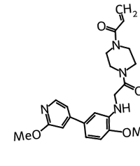 C=CC(=O)N1CCN(C(=O)CNc2cc(-c3ccnc(OC)c3)ccc2OC)CC1